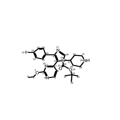 CCOc1nccc(C2=C(c3ccc(F)cc3)N=C[N+]2(C(=O)OC(C)(C)C)C2CCNCC2)n1